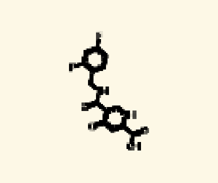 O=C(O)c1cc(=O)c(C(=O)NCc2ccc(F)cc2F)c[nH]1